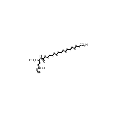 N=NN(O)CC[C@H](NC(=O)CCCCCCCCCCCCCCCCC(=O)O)C(=O)O